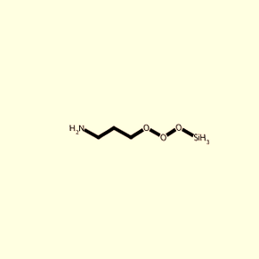 NCCCOOO[SiH3]